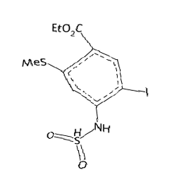 CCOC(=O)c1cc(I)c(N[SH](=O)=O)cc1SC